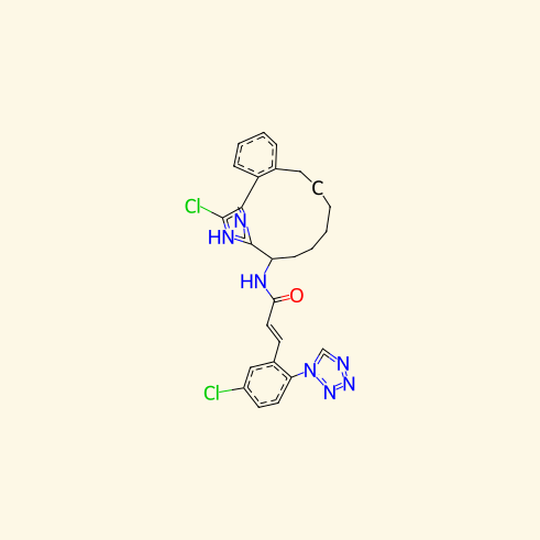 O=C(C=Cc1cc(Cl)ccc1-n1cnnn1)NC1CCCCCCc2ccccc2-c2nc1[nH]c2Cl